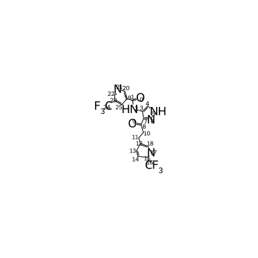 O=C(Nc1c[nH]nc1C(=O)CCc1ccc(C(F)(F)F)nc1)c1cncc(C(F)(F)F)c1